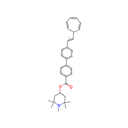 CN1C(C)(C)CC(OC(=O)c2ccc(-c3ccc(/C=C/C4C=CC=CC=C4)cc3)cc2)CC1(C)C